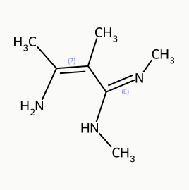 C/N=C(NC)\C(C)=C(\C)N